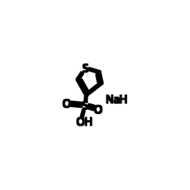 O=S(=O)(O)c1ccsc1.[NaH]